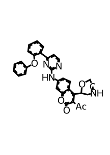 CC(=O)c1c(C2CNCCO2)c2ccc(Nc3nccc(-c4ccccc4Oc4ccccc4)n3)cc2oc1=O